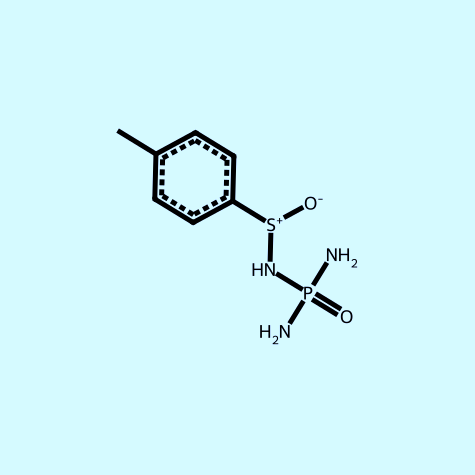 Cc1ccc([S+]([O-])NP(N)(N)=O)cc1